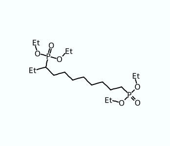 CCOP(=O)(CCCCCCCCC(CC)P(=O)(OCC)OCC)OCC